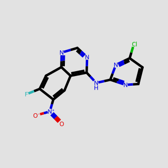 O=[N+]([O-])c1cc2c(Nc3nccc(Cl)n3)ncnc2cc1F